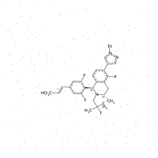 CCn1cc(-c2ccc3c(c2F)C[C@H](C)N(CC(C)(C)F)[C@H]3c2c(F)cc(/C=C/C(=O)O)cc2F)cn1